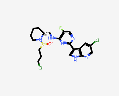 [O-][S+](CCCCl)N1CCCC[C@@H]1CNc1nc(-c2c[nH]c3ncc(Cl)cc23)ncc1F